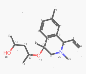 C=CC1c2cc(C)ccc2C(C)(OC(C)CC(C)O)CN1C